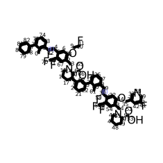 Cc1c(/C=C/c2cc(OCCF)c(CN3CCCC(c4cccc(-c5cccc(/C=C/c6cc(OCc7cncc(F)c7)c(CN7CCCC[C@H]7C(=O)O)cc6C(F)(F)F)c5C)c4)[C@H]3C(=O)O)cc2C(F)(F)F)cccc1-c1ccccc1